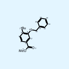 COC(=O)c1ccc(C(C)(C)C)c(SCc2ccccc2)c1